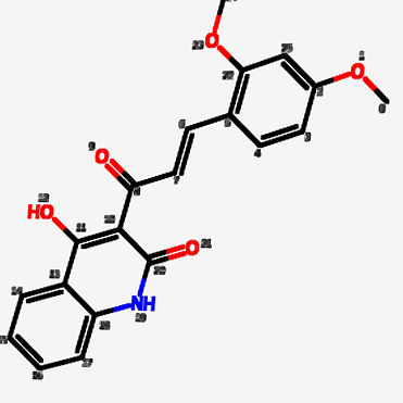 COc1ccc(/C=C/C(=O)c2c(O)c3ccccc3[nH]c2=O)c(OC)c1